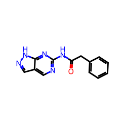 O=C(Cc1ccccc1)Nc1ncc2cn[nH]c2n1